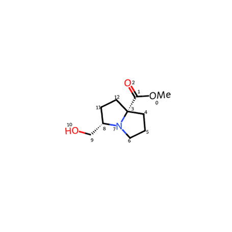 COC(=O)[C@]12CCCN1[C@H](CO)CC2